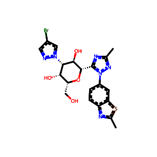 Cc1nc([C@@H]2O[C@H](CO)[C@H](O)[C@H](n3cc(Br)cn3)[C@H]2O)n(-c2ccc3nc(C)sc3c2)n1